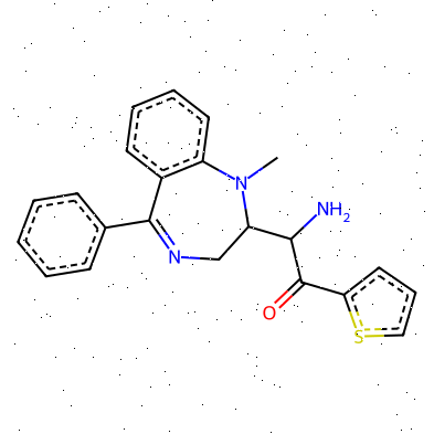 CN1c2ccccc2C(c2ccccc2)=NCC1C(N)C(=O)c1cccs1